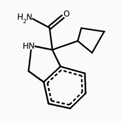 NC(=O)C1(C2CCC2)NCc2ccccc21